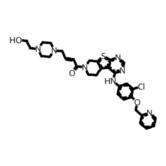 O=C(/C=C/CN1CCN(CCO)CC1)N1CCc2c(sc3ncnc(Nc4ccc(OCc5ccccn5)c(Cl)c4)c23)C1